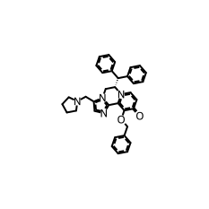 O=c1ccn2c(c1OCc1ccccc1)-c1ncc(CN3CCCC3)n1C[C@@H]2C(c1ccccc1)c1ccccc1